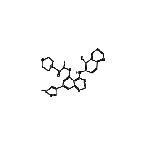 CC(Oc1cc(-c2cnn(C)c2)cc2ncnc(Nc3ccc4ncccc4c3F)c12)C(=O)N1CCOCC1